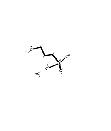 CCC[CH2][Sn]([Cl])([Cl])[Cl].Cl